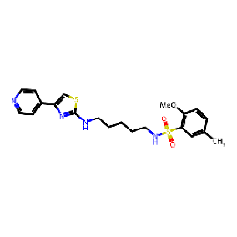 COc1ccc(C)cc1S(=O)(=O)NCCCCCNc1nc(-c2ccncc2)cs1